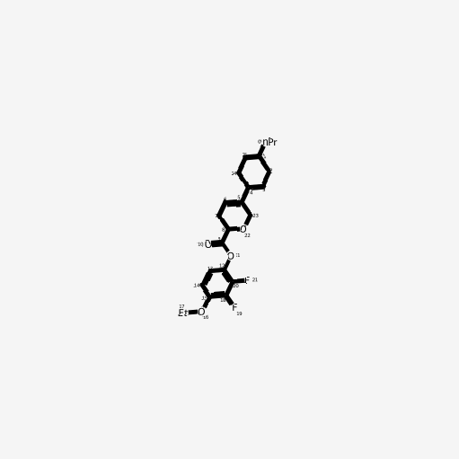 CCCC1CCC(C2=CCC(C(=O)Oc3ccc(OCC)c(F)c3F)OC2)CC1